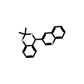 CC1(C)Oc2ccccc2C(c2cnc3ccccc3c2)O1